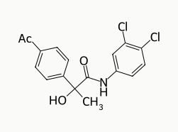 CC(=O)c1ccc(C(C)(O)C(=O)Nc2ccc(Cl)c(Cl)c2)cc1